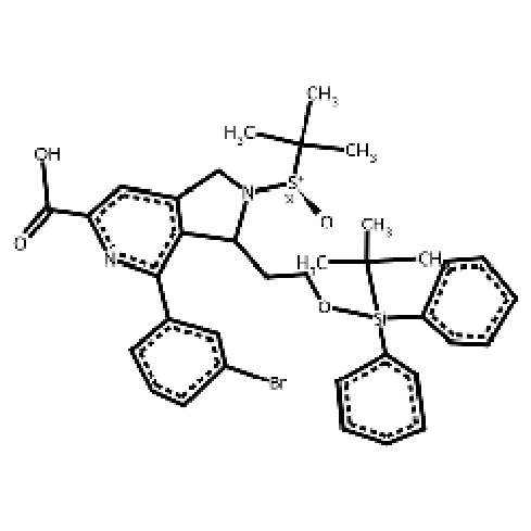 CC(C)(C)[S@@+]([O-])N1Cc2cc(C(=O)O)nc(-c3cccc(Br)c3)c2C1CCO[Si](c1ccccc1)(c1ccccc1)C(C)(C)C